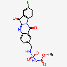 CC(C)(C)OC(=O)NS(=O)(=O)NCc1ccc2nc3n(c(=O)c2c1)-c1ccc(F)cc1C3=O